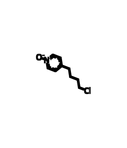 [O-][n+]1ccc(CCCCCl)cc1